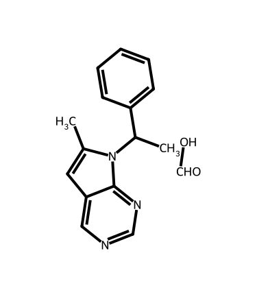 Cc1cc2cncnc2n1C(C)c1ccccc1.O=CO